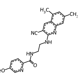 COc1ccc(C(=O)NCCNc2nc3cc(C)cc(C)c3cc2C#N)nc1